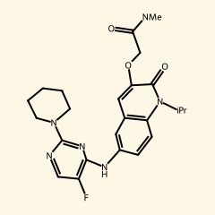 CNC(=O)COc1cc2cc(Nc3nc(N4CCCCC4)ncc3F)ccc2n(C(C)C)c1=O